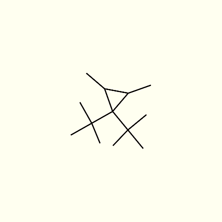 CC1C(C)C1(C(C)(C)C)C(C)(C)C